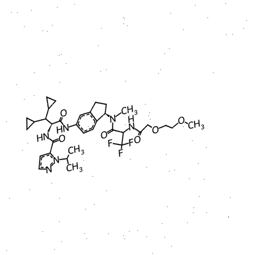 COCCOCC(=O)NC(C(=O)N(C)[C@@H]1CCc2cc(NC(=O)[C@@H](NC(=O)c3ccnn3C(C)C)C(C3CC3)C3CC3)ccc21)C(F)(F)F